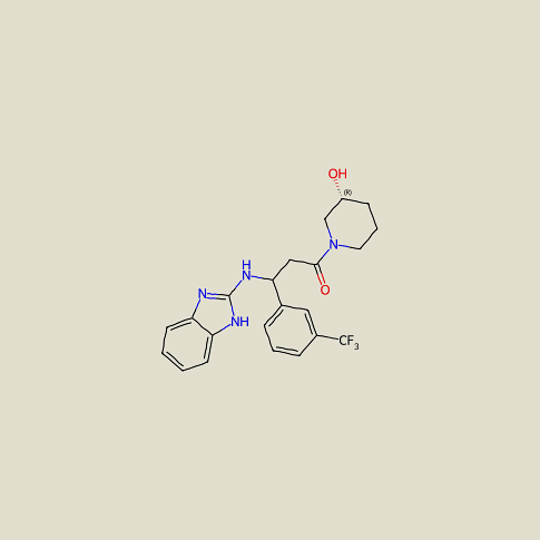 O=C(CC(Nc1nc2ccccc2[nH]1)c1cccc(C(F)(F)F)c1)N1CCC[C@@H](O)C1